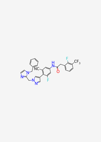 N#Cc1cc(NC(=O)Cc2cccc(C(F)(F)F)c2F)cc(F)c1-c1cnn(Cc2nccn2Cc2ccccc2)c1